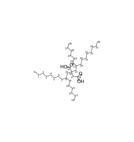 CCCCCCCCC(CCCCCC)CC(CC(=O)O)(CC(CCCCCC)CCCCCCCC)C(=O)O